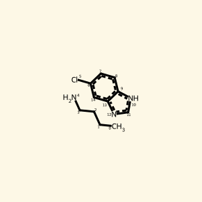 CCCCN.Clc1ccc2[nH]cnc2c1